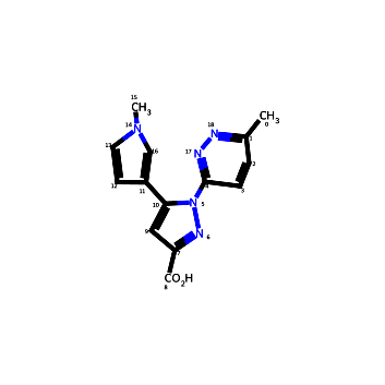 Cc1ccc(-n2nc(C(=O)O)cc2-c2ccn(C)c2)nn1